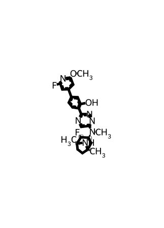 COc1cc(-c2ccc(-c3ncc(N(C)[C@H]4C[C@]5(C)CC[C@@](C)(N5)[C@H]4F)nn3)c(O)c2)cc(F)n1